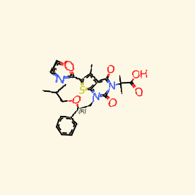 Cc1c(-c2ncco2)sc2c1c(=O)n(C(C)(C)C(=O)O)c(=O)n2C[C@H](OCC(C)C)c1ccccc1